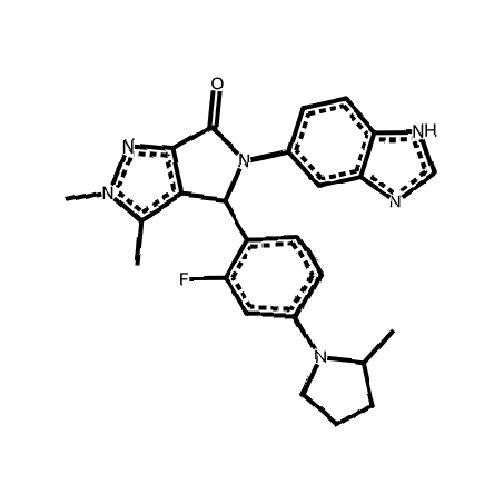 Cc1c2c(nn1C)C(=O)N(c1ccc3[nH]cnc3c1)C2c1ccc(N2CCCC2C)cc1F